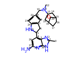 Cc1nc2c(C3Cc4cc(CN(C)C5CC6CCC(C5)C6=O)ccc4N3)cc(N)nc2[nH]1